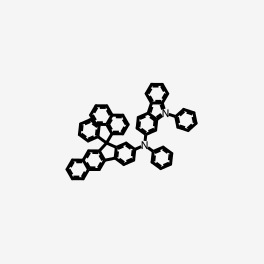 c1ccc(N(c2ccc3c(c2)C(c2ccccc2)(c2cccc4ccccc24)c2cc4ccccc4cc2-3)c2ccc3c4ccccc4n(-c4ccccc4)c3c2)cc1